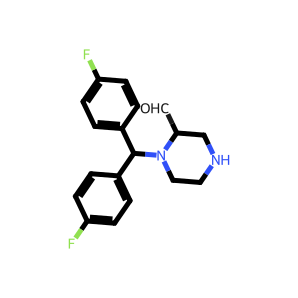 O=[C]C1CNCCN1C(c1ccc(F)cc1)c1ccc(F)cc1